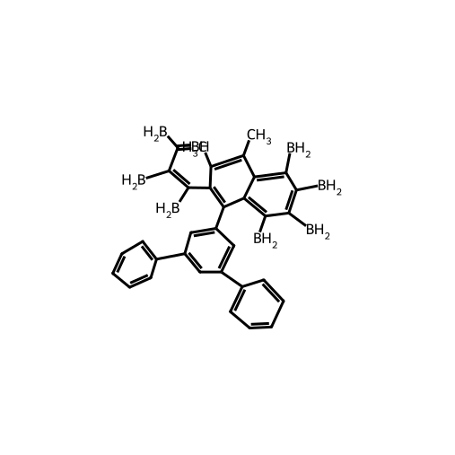 B=C(B)/C(B)=C(/B)c1c(C)c(C)c2c(B)c(B)c(B)c(B)c2c1-c1cc(-c2ccccc2)cc(-c2ccccc2)c1